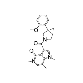 COc1ccccc1C12CC1CN(C(=O)c1cn(C)c3c(C)cn(C)c(=O)c13)C2